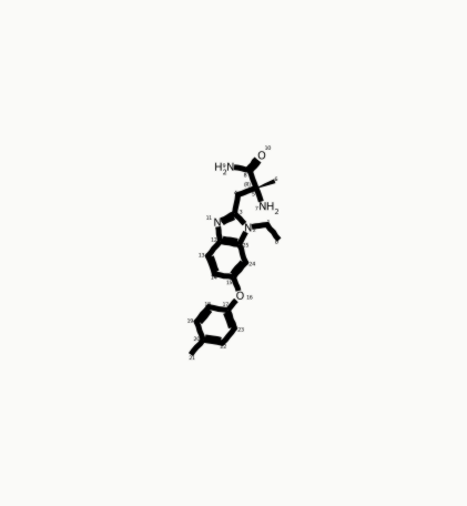 CCn1c(C[C@@](C)(N)C(N)=O)nc2ccc(Oc3ccc(C)cc3)cc21